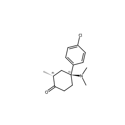 C[C@@H]1C[C@@](c2ccc(Cl)cc2)(N(C)C)CCC1=O